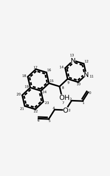 C=CCOCC=C.OC(c1cncnc1)c1cccc2ccccc12